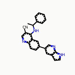 CC(Nc1c(C#N)cnc2ccc(-c3cnc4[nH]ccc4c3)cc12)c1ccccc1